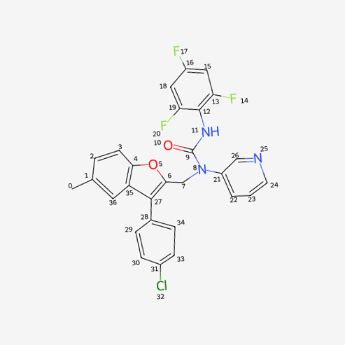 Cc1ccc2oc(CN(C(=O)Nc3c(F)cc(F)cc3F)c3cccnc3)c(-c3ccc(Cl)cc3)c2c1